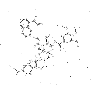 C=CN(C)c1cccc2ccccc12.COC(=O)[C@H]1[C@H]2C[C@@H]3c4[nH]c5cc(OC)ccc5c4CCN3C[C@H]2C[C@@H](OC(=O)c2cc(OC)c(OC)c(OC)c2)[C@@H]1OC